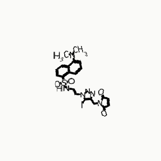 CN(C)c1cccc2c(S(=O)(=O)NCCn3nnc(CN4C(=O)C=CC4=O)c3I)cccc12